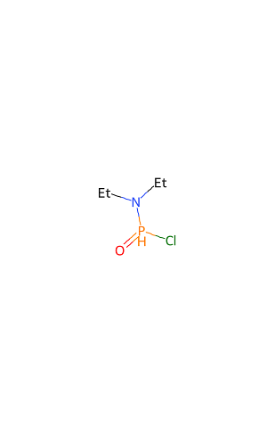 CCN(CC)[PH](=O)Cl